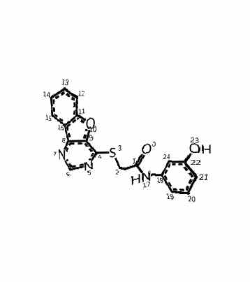 O=C(CSc1ncnc2c1oc1ccccc12)Nc1cccc(O)c1